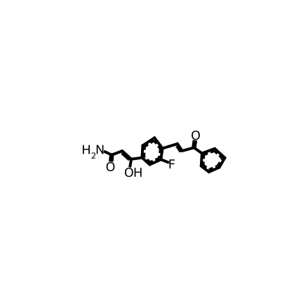 NC(=O)C=C(O)c1ccc(C=CC(=O)c2ccccc2)c(F)c1